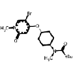 Cn1cc(Br)c(O[C@H]2CC[C@H](N(C)C(=O)C(C)(C)C)CC2)cc1=O